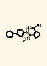 COc1cc(C2=CCCC=C2)ccc1NC(=O)C1=C(C(=O)O)CCC1